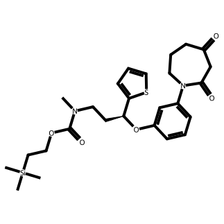 CN(CC[C@H](Oc1cccc(N2CCCC(=O)CC2=O)c1)c1cccs1)C(=O)OCC[Si](C)(C)C